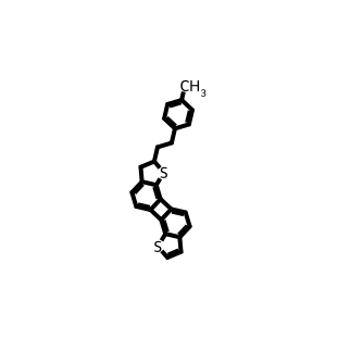 Cc1ccc(CCC2Cc3ccc4c(c3S2)-c2ccc3ccsc3c2-4)cc1